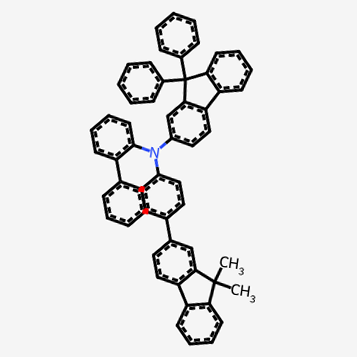 CC1(C)c2ccccc2-c2ccc(-c3ccc(N(c4ccc5c(c4)C(c4ccccc4)(c4ccccc4)c4ccccc4-5)c4ccccc4-c4ccccc4)cc3)cc21